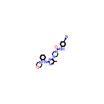 Cc1cnc(Nc2ccccc2N2CCOCC2)nc1N1CCN(C(=O)Nc2ccc(C#N)cc2)CC1